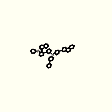 c1ccc(-c2ccc(N(c3ccc(-c4ccc5c(ccc6ccccc65)c4)cc3)c3cccc(-c4cccc5c4c4c6ccccc6ccc4n5-c4ccccc4)c3)cc2)cc1